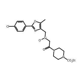 CCOC(=O)N1CCN(C(=O)C[S+]([O-])Cc2nc(-c3ccc(Cl)cc3)oc2C)CC1